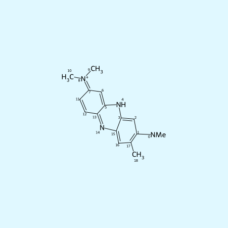 CNc1cc2[nH]c3cc(=[N+](C)C)ccc-3nc2cc1C